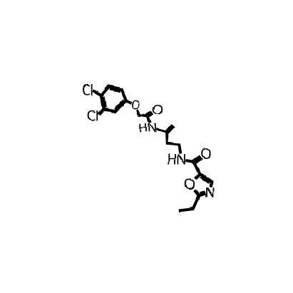 C=C(CCNC(=O)c1cnc(CC)o1)NC(=O)COc1ccc(Cl)c(Cl)c1